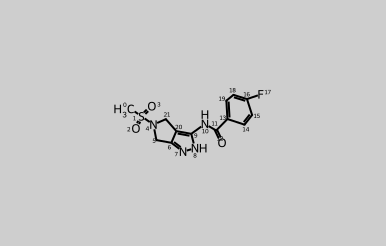 CS(=O)(=O)N1Cc2n[nH]c(NC(=O)c3ccc(F)cc3)c2C1